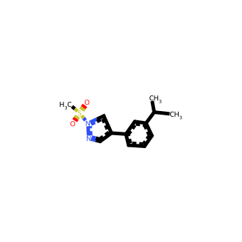 CC(C)c1cccc(-c2cnn(S(C)(=O)=O)c2)c1